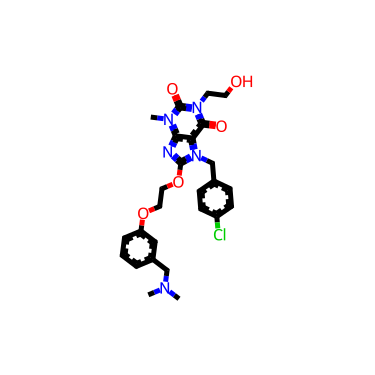 CN(C)Cc1cccc(OCCOc2nc3c(c(=O)n(CCO)c(=O)n3C)n2Cc2ccc(Cl)cc2)c1